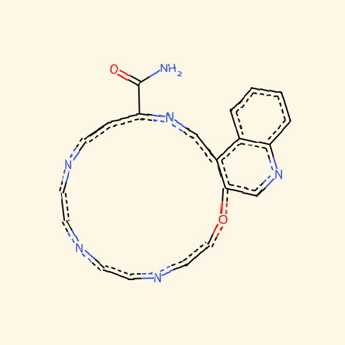 NC(=O)c1ccnccnccnccoc2cnc3ccccc3c2cn1